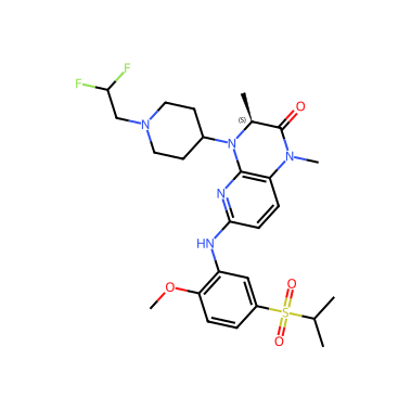 COc1ccc(S(=O)(=O)C(C)C)cc1Nc1ccc2c(n1)N(C1CCN(CC(F)F)CC1)[C@@H](C)C(=O)N2C